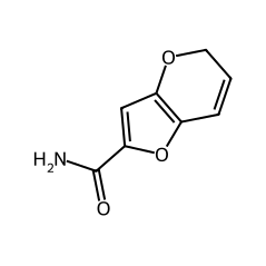 NC(=O)c1cc2c(o1)C=CCO2